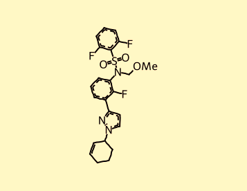 COCN(c1cccc(-c2ccn(C3C=CCCC3)n2)c1F)S(=O)(=O)c1c(F)cccc1F